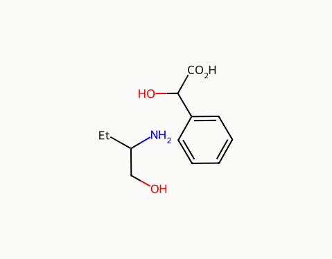 CCC(N)CO.O=C(O)C(O)c1ccccc1